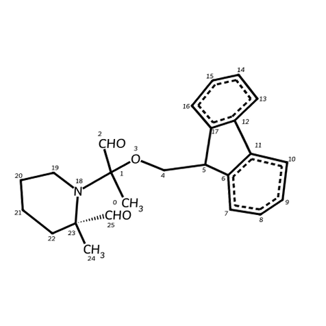 CC(C=O)(OCC1c2ccccc2-c2ccccc21)N1CCCC[C@@]1(C)C=O